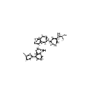 Cc1ccc(-c2cncc3[nH]c(-c4n[nH]c5cnc(-c6cncc(NC(C)C)c6)cc45)nc23)s1